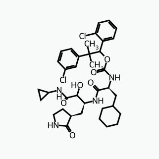 CC(C)(c1cccc(Cl)c1)C(OC(=O)N[C@@H](CC1CCCCC1)C(=O)N[C@@H](C[C@@H]1CCNC1=O)C(O)C(=O)NC1CC1)c1ccccc1Cl